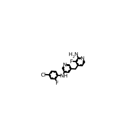 Nc1nccc(Cc2cncc(Nc3ccc(Cl)cc3F)c2)c1F